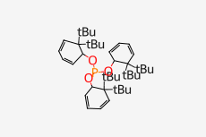 CC(C)(C)C1(C(C)(C)C)C=CC=CC1OP(OC1C=CC=CC1(C(C)(C)C)C(C)(C)C)OC1C=CC=CC1(C(C)(C)C)C(C)(C)C